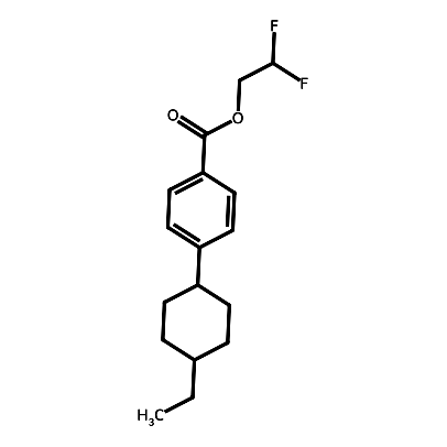 CCC1CCC(c2ccc(C(=O)OCC(F)F)cc2)CC1